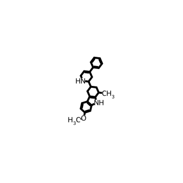 COc1ccc2c3c([nH]c2c1)C(C)CC(C1CC(c2ccccc2)=CCN1)C3